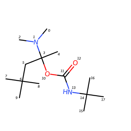 CN(C)C(C)(CC(C)(C)C)OC(=O)NC(C)(C)C